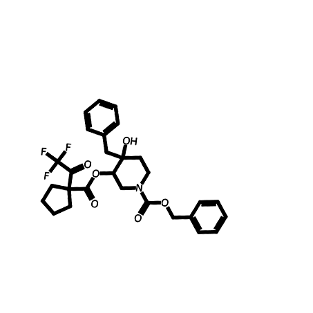 O=C(OCc1ccccc1)N1CCC(O)(Cc2ccccc2)C(OC(=O)C2(C(=O)C(F)(F)F)CCCC2)C1